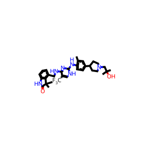 Cc1cc(C2CCN(CC(C)(C)O)CC2)ccc1NC1N=C(NCc2cccc3c2C(C)(C)C(=O)N3)C(C(F)(F)F)=CN1